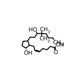 CCCCC(C)(C)C(O)CCC1CC[C@@H](O)C1C/C=C\CCCC(=O)O